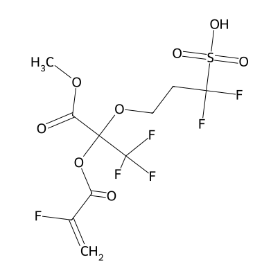 C=C(F)C(=O)OC(OCCC(F)(F)S(=O)(=O)O)(C(=O)OC)C(F)(F)F